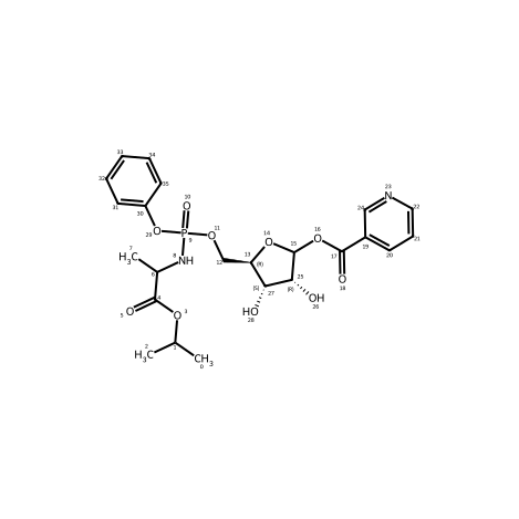 CC(C)OC(=O)C(C)NP(=O)(OC[C@H]1OC(OC(=O)c2cccnc2)[C@H](O)[C@@H]1O)Oc1ccccc1